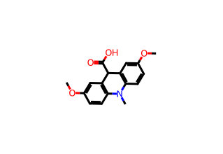 COc1ccc2c(c1)C(C(=O)O)c1cc(OC)ccc1N2C